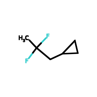 CC(F)(F)CC1CC1